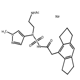 CC(=O)NCCN(c1cnn(C)c1)S(=O)(=O)NC(=O)Cc1c2c(cc3c1CCC3)CCC2.[Na]